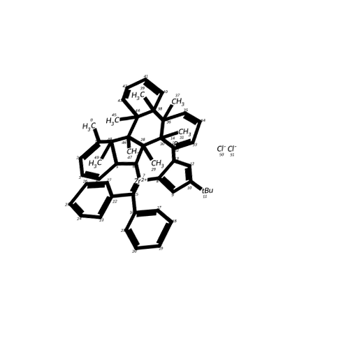 CC1=CC=CC2[CH]([Zr+2]([C]3=CC(C(C)(C)C)=CC3C(C)C)=[C](c3ccccc3)c3ccccc3)C3(C)C4(C)C=CC=CC4(C)C4(C)C=CC=CC4(C)C3(C)C12C.[Cl-].[Cl-]